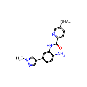 CC(=O)Nc1ccc(C(=O)Nc2cc(-c3cnn(C)c3)ccc2N)nc1